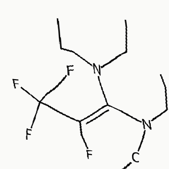 CCN(CC)C(=C(F)C(F)(F)F)N(CC)CC